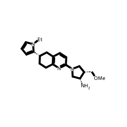 CCn1cccc1[C@H]1CCc2nc(N3C[C@H](COC)[C@H](N)C3)ccc2C1